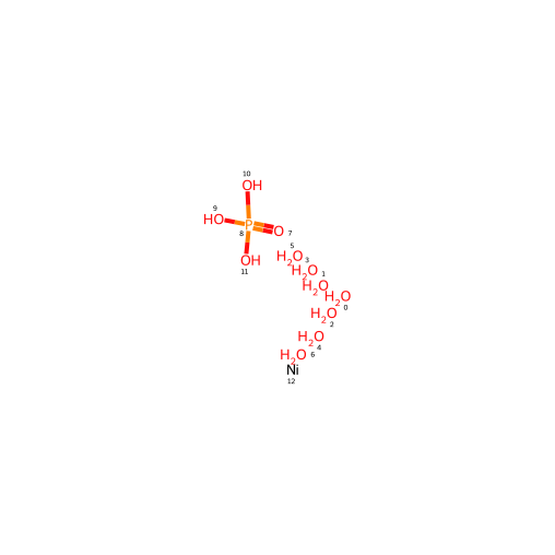 O.O.O.O.O.O.O.O=P(O)(O)O.[Ni]